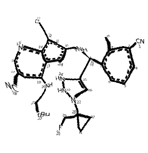 Cc1c(C#N)cccc1[C@H](Nc1cc(Cl)c2ncc(C#N)c(NCC(C)(C)C)c2c1)C1=CN(C2(CF)CC2)NN1